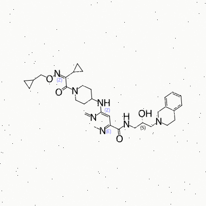 C=N/C(=C\C(=N/C)C(=O)NC[C@H](O)CN1CCc2ccccc2C1)NC1CCN(C(=O)/C(=N\OCC2CC2)C2CC2)CC1